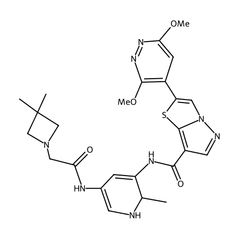 COc1cc(-c2cn3ncc(C(=O)NC4=CC(NC(=O)CN5CC(C)(C)C5)=CNC4C)c3s2)c(OC)nn1